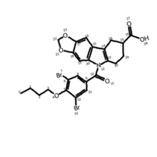 CCCCOc1c(Br)cc(C(=O)n2c3c(c4cc5c(cc42)OCO5)CC(C(=O)O)CC3)cc1Br